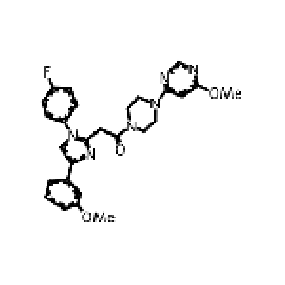 COc1cccc(-c2cn(-c3ccc(F)cc3)c(CC(=O)N3CCN(c4cc(OC)ncn4)CC3)n2)c1